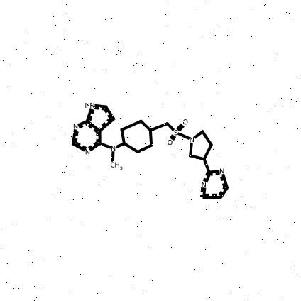 CN(c1ncnc2[nH]ccc12)C1CCC(CS(=O)(=O)N2CCC(c3ncccn3)C2)CC1